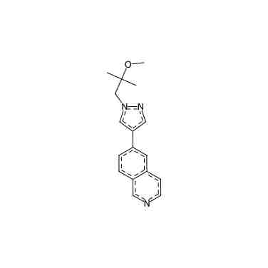 COC(C)(C)Cn1cc(-c2ccc3cnccc3c2)cn1